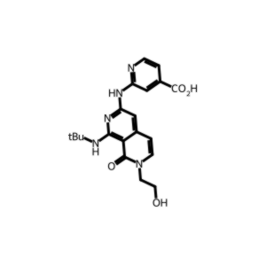 CC(C)(C)Nc1nc(Nc2cc(C(=O)O)ccn2)cc2ccn(CCO)c(=O)c12